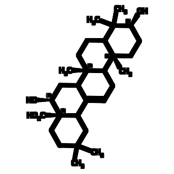 CC1(C)CC[C@@]2(C(=O)O)C(C1)C1=CCC3[C@@](C)(CCC4C(C)(C)[C@@H](O)CC[C@@]43C)C1C[C@H]2O